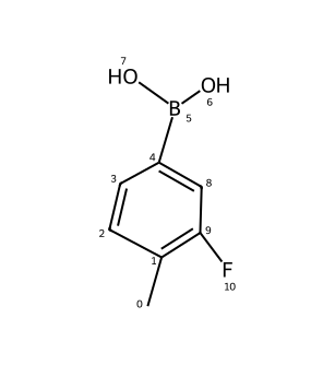 Cc1ccc(B(O)O)cc1F